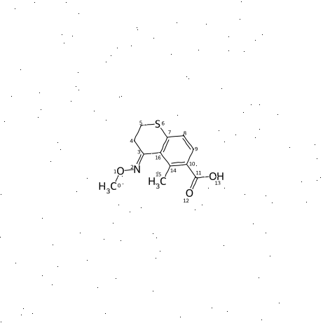 CO/N=C1\CCSc2ccc(C(=O)O)c(C)c21